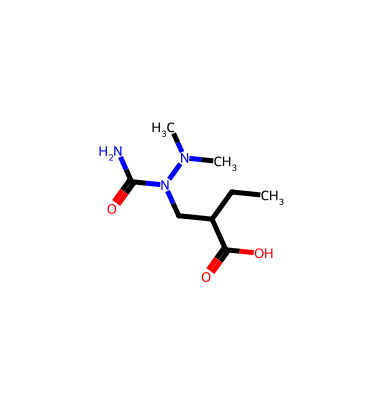 CCC(CN(C(N)=O)N(C)C)C(=O)O